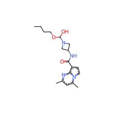 CCCCOC(O)N1CC(NC(=O)c2ccn3c(C)cc(C)nc23)C1